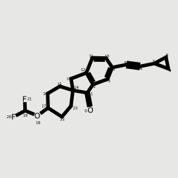 O=C1c2cc(C#CC3CC3)ccc2CC12CCC(OC(F)F)CC2